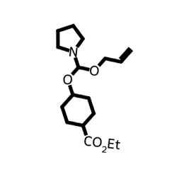 C=CCOC(OC1CCC(C(=O)OCC)CC1)N1CCCC1